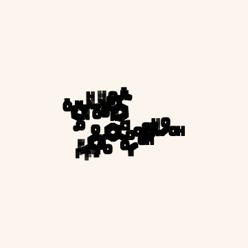 CC(C)OC(=O)c1cc(-n2c(=O)cc(C(F)(F)F)n(C)c2=O)ccc1Cl.COc1cc(OC)nc(NC(=O)NS(=O)(=O)c2ncccc2C(=O)N(C)C)n1.O=C(O)CNCP(=O)(O)O